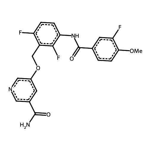 COc1ccc(C(=O)Nc2ccc(F)c(COc3cncc(C(N)=O)c3)c2F)cc1F